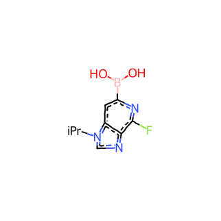 CC(C)n1cnc2c(F)nc(B(O)O)cc21